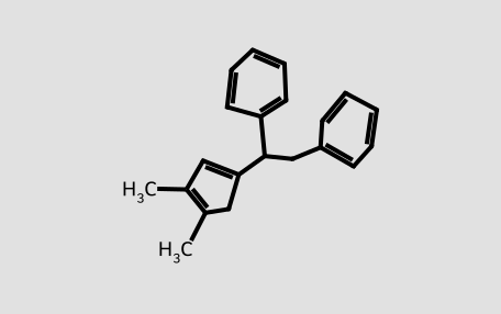 CC1=C(C)CC(C(Cc2ccccc2)c2ccccc2)=C1